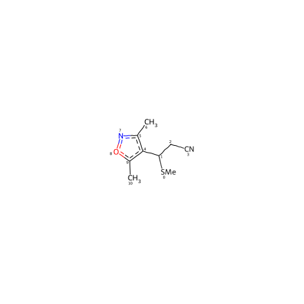 CSC(CC#N)c1c(C)noc1C